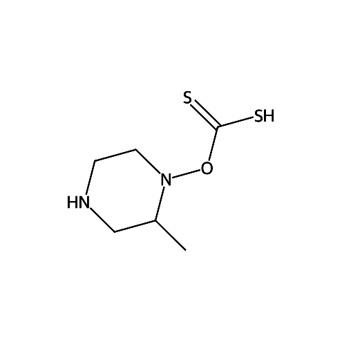 CC1CNCCN1OC(=S)S